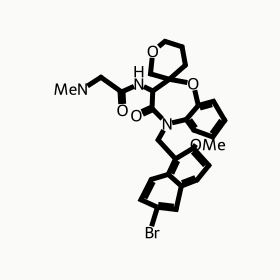 CNCC(=O)NC1C(=O)N(Cc2c(OC)ccc3cc(Br)ccc23)c2ccccc2OC12CCCOC2